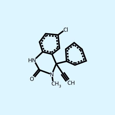 C#CC1(c2ccccc2)c2cc(Cl)ccc2NC(=O)N1C